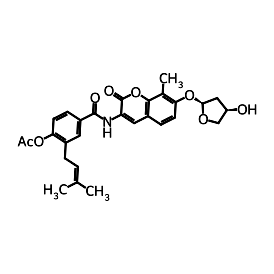 CC(=O)Oc1ccc(C(=O)Nc2cc3ccc(O[C@H]4C[C@@H](O)CO4)c(C)c3oc2=O)cc1CC=C(C)C